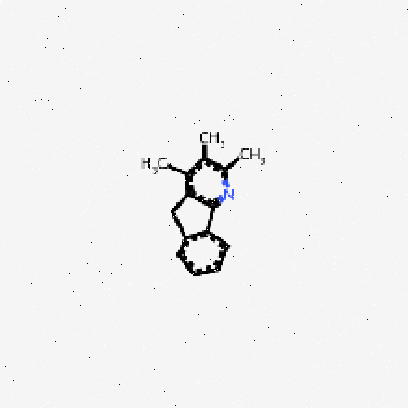 Cc1nc2c(c(C)c1C)Cc1ccccc1-2